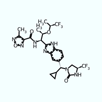 Cc1nonc1C(=O)N[C@H](c1nc2cc([C@@H](C3CC3)N3C[C@@H](C(F)(F)F)NC3=O)ccc2[nH]1)[C@@H](C)O[C@@H](C)C(F)(F)F